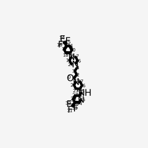 O=C(CCCN1CCN(c2ccc(C(F)(F)F)cc2)CC1)N1CCC(Nc2ccc(C(F)(F)F)cn2)CC1